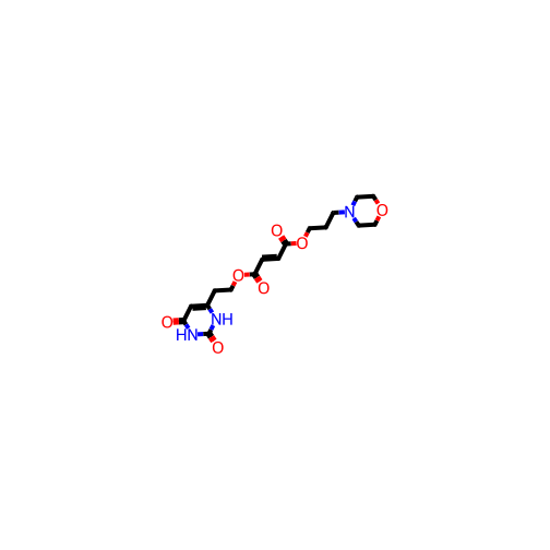 O=C(/C=C/C(=O)OCCc1cc(=O)[nH]c(=O)[nH]1)OCCCN1CCOCC1